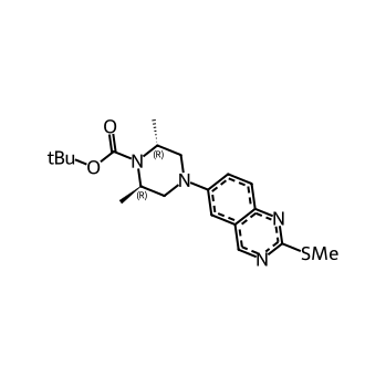 CSc1ncc2cc(N3C[C@@H](C)N(C(=O)OC(C)(C)C)[C@H](C)C3)ccc2n1